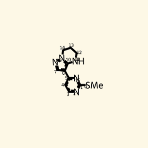 CSc1nccc(-c2cnn3c2NCCC3)n1